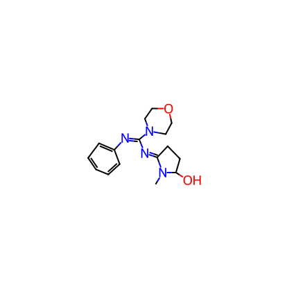 CN1C(=NC(=Nc2ccccc2)N2CCOCC2)CCC1O